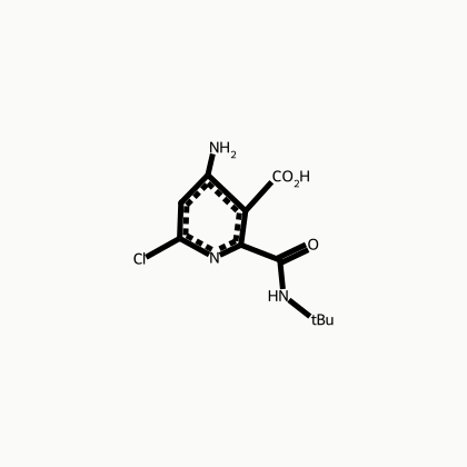 CC(C)(C)NC(=O)c1nc(Cl)cc(N)c1C(=O)O